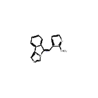 CNc1ncccc1/C=c1\c2ccccc2c2cncn12